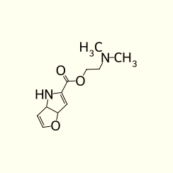 CN(C)CCOC(=O)C1=CC2OC=CC2N1